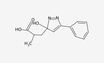 CC(CC1(O)C=C(c2ccccc2)N=N1)C(=O)O